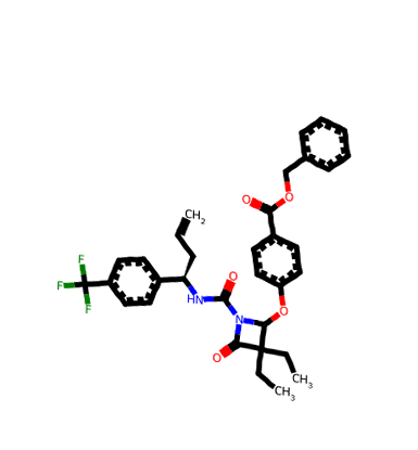 C=CC[C@@H](NC(=O)N1C(=O)C(CC)(CC)C1Oc1ccc(C(=O)OCc2ccccc2)cc1)c1ccc(C(F)(F)F)cc1